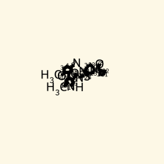 COc1ccc(C#N)cc1-c1cc(C)ncc1C(=O)Nc1nc2c(s1)CN(C(=O)C1CCC1)CC2